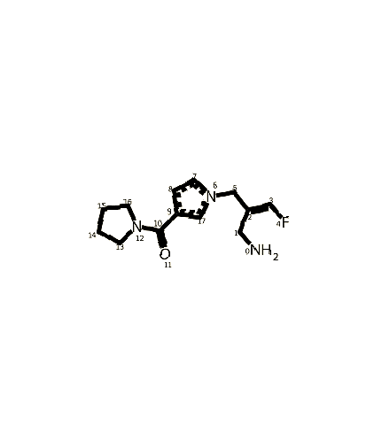 NC/C(=C\F)Cn1ccc(C(=O)N2CCCC2)c1